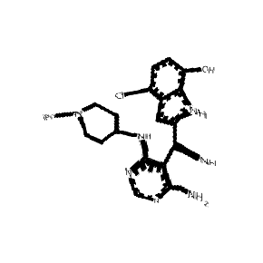 CC(C)N1CCC(Nc2ncnc(N)c2C(=N)c2cc3c(Cl)ccc(O)c3[nH]2)CC1